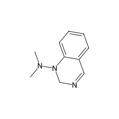 CN(C)N1CN=Cc2ccccc21